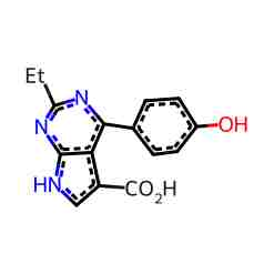 CCc1nc(-c2ccc(O)cc2)c2c(C(=O)O)c[nH]c2n1